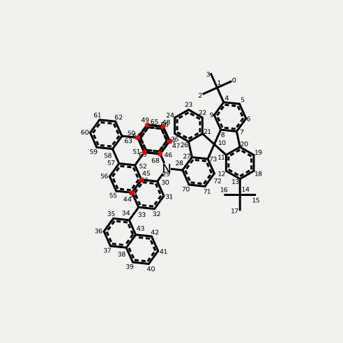 CC(C)(C)c1ccc2c(c1)C1(c3cc(C(C)(C)C)ccc3-2)c2ccccc2-c2c(N(c3ccc(-c4cccc5ccccc45)cc3)c3ccccc3-c3ccccc3-c3ccccc3-c3ccccc3)cccc21